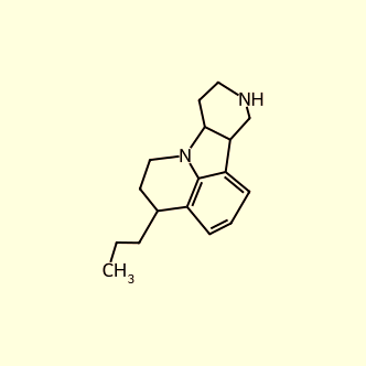 CCCC1CCN2c3c1cccc3C1CNCCC12